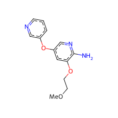 COCCOc1cc(Oc2cccnc2)cnc1N